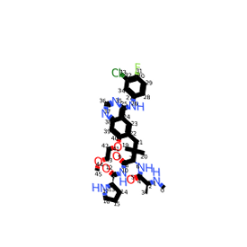 CN[C@@H](C)C(=O)N[C@H](C(=O)NC(=O)[C@@H]1CCCN1)C(C)(C)Cc1cc2c(Nc3ccc(F)c(Cl)c3)ncnc2cc1OCCOC